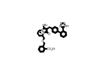 CCCCc1c(Cc2ccc(-c3ccccc3-c3nnn[nH]3)cc2)c(=O)n2n1C1CCC2(COCc2ccccc2C(=O)OCC)CC1